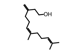 C=C(CCO)CCC=C(C)CCC=C(C)C